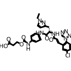 CCn1ccc(C[C@H](NC(=O)C=Cc2cc(Cl)ccc2-n2cnnn2)C(=O)Nc2ccc(NC(=O)OCCC(=O)O)cc2)n1